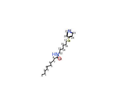 CCCCCCCCCC(=O)NCCCCCCSc1ccncc1